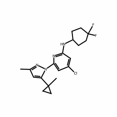 Cc1cc(C2(C)CC2)n(-c2cc(Cl)cc(NC3CCC(F)(F)CC3)n2)n1